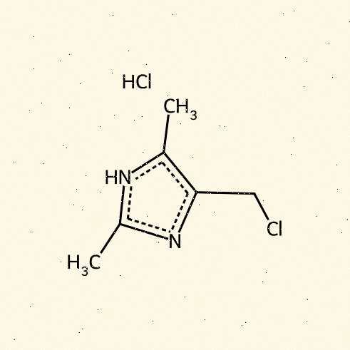 Cc1nc(CCl)c(C)[nH]1.Cl